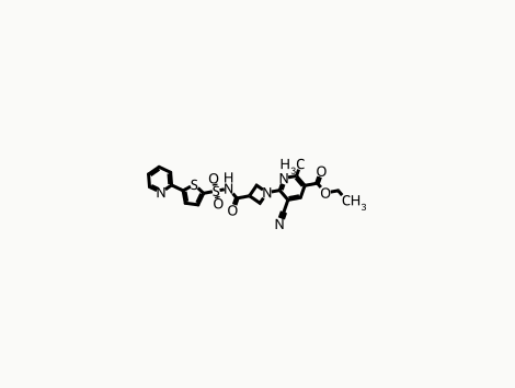 CCOC(=O)c1cc(C#N)c(N2CC(C(=O)NS(=O)(=O)c3ccc(-c4ccccn4)s3)C2)nc1C